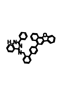 N/C(=N\C(=N/Cc1ccccc1-c1ccc(-c2cc3c4ccccc4oc3c3ccccc23)cc1)c1ccccc1)c1ccccc1